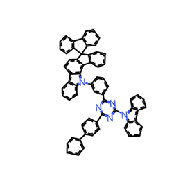 c1ccc(-c2ccc(-c3nc(-c4cccc(-n5c6ccccc6c6ccc7c(c65)-c5ccccc5C75c6ccccc6-c6ccccc65)c4)nc(-n4c5ccccc5c5ccccc54)n3)cc2)cc1